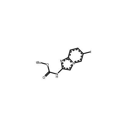 CC(C)(C)OC(=O)Nc1cn2cc(I)ccc2n1